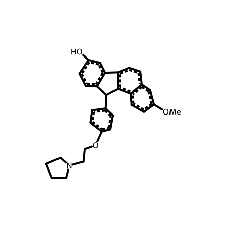 COc1ccc2c3c(ccc2c1)-c1cc(O)ccc1C3c1ccc(OCCN2CCCC2)cc1